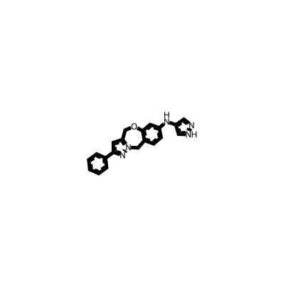 c1ccc(-c2cc3n(n2)Cc2ccc(Nc4cn[nH]c4)cc2OC3)cc1